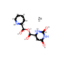 O=C(OC(=O)c1cc(=O)[nH]c(=O)[nH]1)c1ccccn1.[Zn]